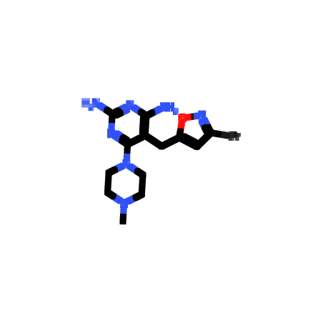 CC(C)c1cc(Cc2c(N)nc(N)nc2N2CCN(C)CC2)on1